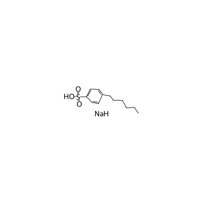 CCCCCCc1ccc(S(=O)(=O)O)cc1.[NaH]